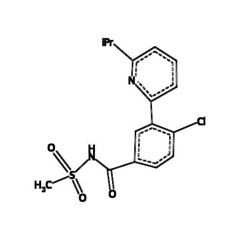 CC(C)c1cccc(-c2cc(C(=O)NS(C)(=O)=O)ccc2Cl)n1